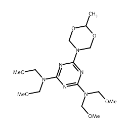 COCN(COC)c1nc(N(COC)COC)nc(N2COC(C)OC2)n1